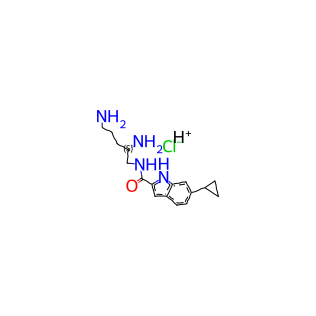 NCCC[C@H](N)CNC(=O)c1cc2ccc(C3CC3)cc2[nH]1.[Cl-].[H+]